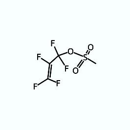 CS(=O)(=O)OC(F)(F)C(F)=C(F)F